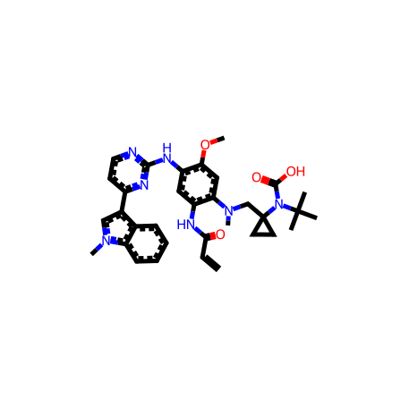 C=CC(=O)Nc1cc(Nc2nccc(-c3cn(C)c4ccccc34)n2)c(OC)cc1N(C)CC1(N(C(=O)O)C(C)(C)C)CC1